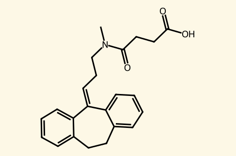 CN(CCC=C1c2ccccc2CCc2ccccc21)C(=O)CCC(=O)O